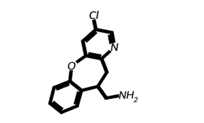 NCC1Cc2ncc(Cl)cc2Oc2ccccc21